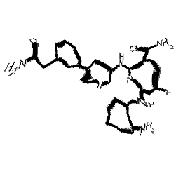 NC(=O)Cc1cccc(-c2cncc(Nc3nc(NC4CCCCC4N)c(F)cc3C(N)=O)c2)c1